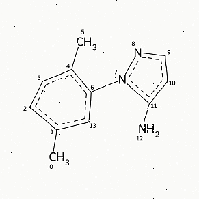 Cc1ccc(C)c(-n2nccc2N)c1